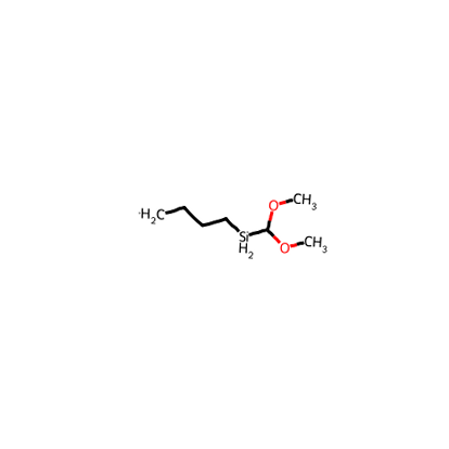 [CH2]CCC[SiH2]C(OC)OC